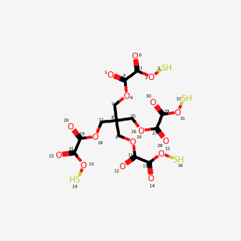 O=C(OS)C(=O)OCC(COC(=O)C(=O)OS)(COC(=O)C(=O)OS)COC(=O)C(=O)OS